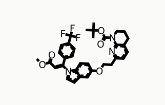 COC(=O)C=C(c1ccc(C(F)(F)F)cc1)n1ccc2cc(OCCc3ccc4c(n3)N(C(=O)OC(C)(C)C)CCC4)ccc21